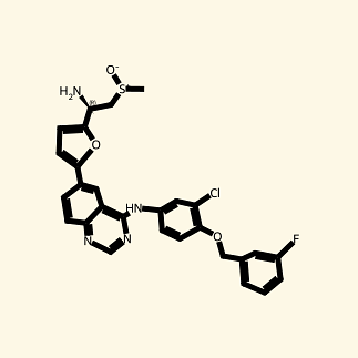 C[S+]([O-])C[C@H](N)c1ccc(-c2ccc3ncnc(Nc4ccc(OCc5cccc(F)c5)c(Cl)c4)c3c2)o1